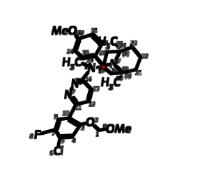 COCOc1cc(Cl)c(F)cc1-c1ccc(N(C)[C@H]2C[C@]3(C)CCC[C@](C)(C2)N3Cc2ccc(OC)cc2)nn1